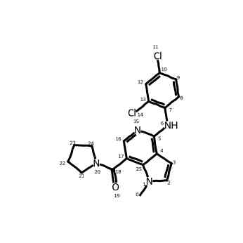 Cn1ccc2c(Nc3ccc(Cl)cc3Cl)ncc(C(=O)N3CCCC3)c21